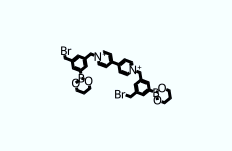 BrCc1cc(C[n+]2ccc(-c3cc[n+](Cc4cc(CBr)cc(B5OCCCO5)c4)cc3)cc2)cc(B2OCCCO2)c1